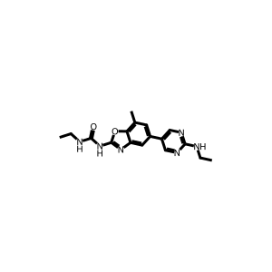 CCNC(=O)Nc1nc2cc(-c3cnc(NCC)nc3)cc(C)c2o1